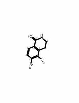 O=C1NCCc2c1ccc(Br)c2Cl